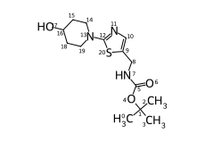 CC(C)(C)OC(=O)NCc1cnc(N2CCC(O)CC2)s1